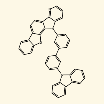 c1cc(-c2cccc(-n3c4cccnc4c4ccc5c6ccccc6sc5c43)c2)cc(-n2c3ccccc3c3ccccc32)c1